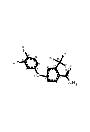 CC(=O)c1ccc(Oc2ccc(F)c(F)c2)cc1C(F)(F)F